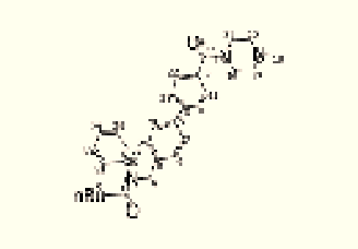 CCCCC(=O)N(Cc1ccc(-c2ccc(C(=O)N3CCN(C)CC3)cc2)cc1)c1ccccc1